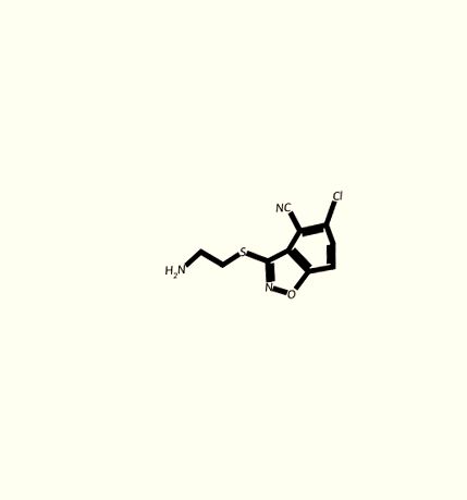 N#Cc1c(Cl)ccc2onc(SCCN)c12